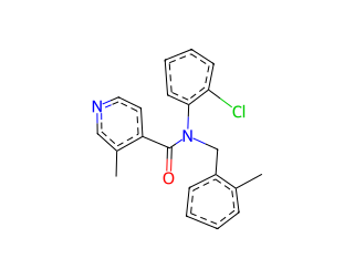 Cc1ccccc1CN(C(=O)c1ccncc1C)c1ccccc1Cl